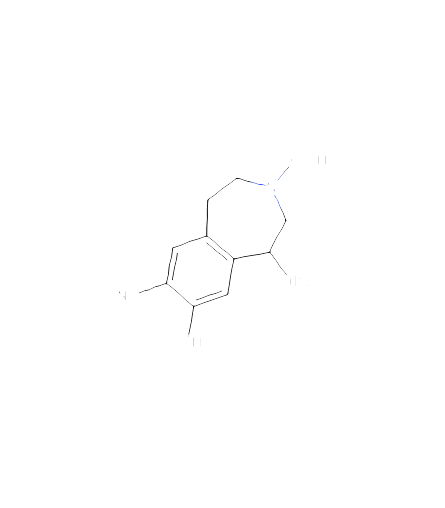 Cc1cc2c(cc1C#N)CCN(C(=O)O)CC2C(C)(C)C